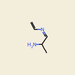 C=C/N=C\C(C)N